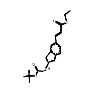 CCOC(=O)/C=C/c1ccc2c(c1)CC(NC(=O)OC(C)(C)C)C2